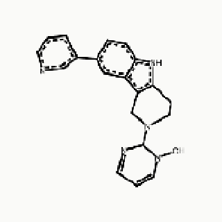 ON1C=CC=NC1N1CCc2[nH]c3ccc(-c4cccnc4)cc3c2C1